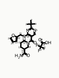 CC(C)(C)c1ncc(C(=O)N2CCCC(C(N)=O)C2)c(NCc2ccco2)n1.O=C(O)C(F)(F)F